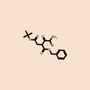 CC(C)(C)OC(=O)CC(C(=O)OCc1ccccc1)C(=O)C(N)Br